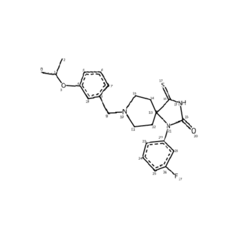 CC(C)Oc1cccc(CN2CCC3(CC2)C(=S)NC(=O)N3c2cccc(F)c2)c1